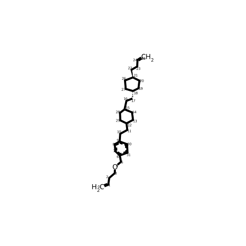 C=CCCOCc1ccc(CCC2CCC(CC[C@H]3CC[C@H](CCC=C)CC3)CC2)cc1